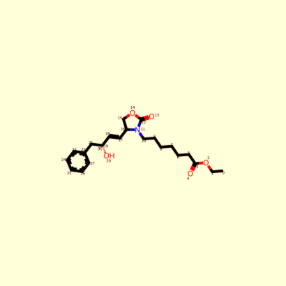 CCOC(=O)CCCCCCN1C(=O)OCC1C=C[C@H](O)Cc1ccccc1